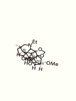 CCN1C[C@]2(C)CC[C@H](OC)[C@@]34C1[C@]1(OCO[C@@]15C[C@H](OC)[C@H]1C[C@@H]3[C@@H]5[C@H]1O)[C@@H](O)[C@H]24